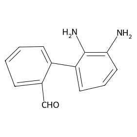 Nc1cccc(-c2ccccc2C=O)c1N